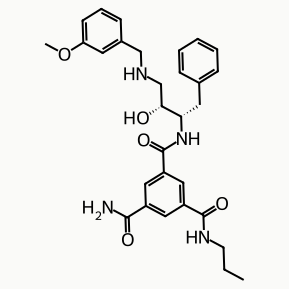 CCCNC(=O)c1cc(C(N)=O)cc(C(=O)N[C@@H](Cc2ccccc2)[C@H](O)CNCc2cccc(OC)c2)c1